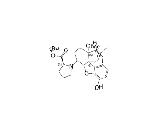 CO[C@@]12CCC(N3CCC[C@H]3C(=O)OC(C)(C)C)C3Oc4c(O)ccc5c4[C@@]31CCN(C)[C@@H]2C5